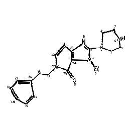 CCn1c(N2CCNCC2)nc2ccn(CCc3ccccc3)c(=O)c21